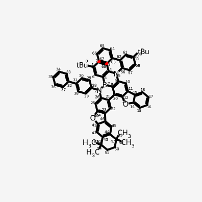 CC(C)(C)c1ccc2c(c1)B1c3c(cc4c(oc5ccccc54)c3-c3cc4c(cc3N1c1ccc(-c3ccccc3)cc1)oc1cc3c(cc14)C(C)(C)CCC3(C)C)N2c1ccc(C(C)(C)C)cc1-c1ccccc1